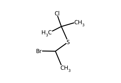 CC(Br)SC(C)(C)Cl